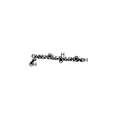 O=C(NCSCSC/N=C/[S+]([O-])CSCSCSC(=O)NCSCSC/N=C/[S+]([O-])CCCO)SCCCO